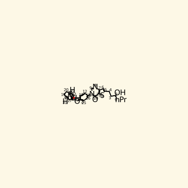 CCCC(O)CCc1cc2ncn(-c3ccc(O[C@H]4C[C@H]5CC[C@@H](C4)N5C)cc3)c(=O)c2s1